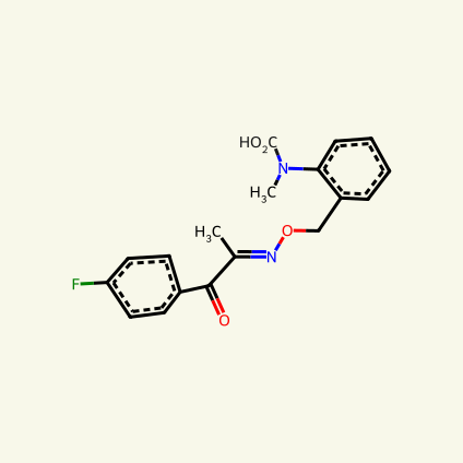 C/C(=N\OCc1ccccc1N(C)C(=O)O)C(=O)c1ccc(F)cc1